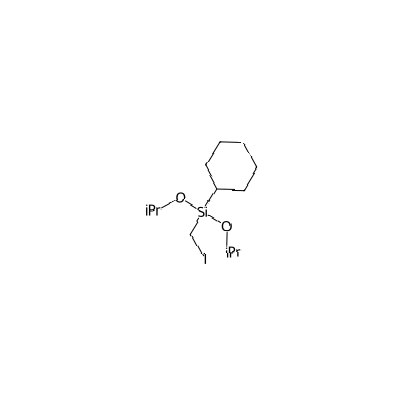 CC(C)O[Si](CI)(OC(C)C)C1CCCCC1